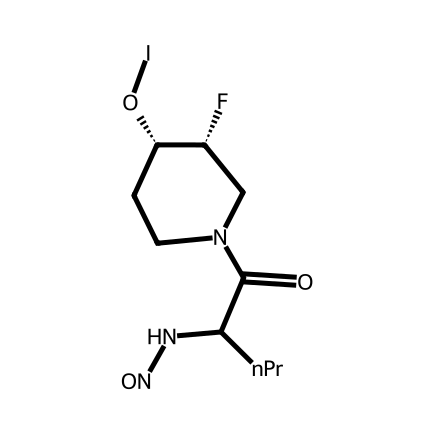 CCCC(NN=O)C(=O)N1CC[C@H](OI)[C@H](F)C1